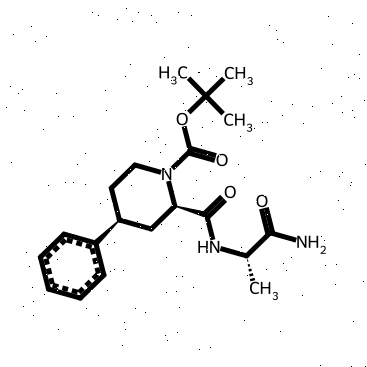 C[C@H](NC(=O)[C@H]1C[C@@H](c2ccccc2)CCN1C(=O)OC(C)(C)C)C(N)=O